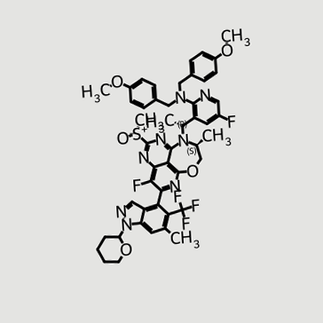 COc1ccc(CN(Cc2ccc(OC)cc2)c2ncc(F)cc2[C@@H](C)N2c3nc([S+](C)[O-])nc4c(F)c(-c5c(C(F)(F)F)c(C)cc6c5cnn6C5CCCCO5)nc(c34)OC[C@@H]2C)cc1